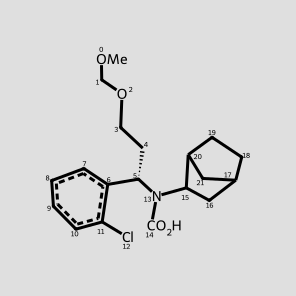 COCOCC[C@@H](c1ccccc1Cl)N(C(=O)O)C1CC2CCC1C2